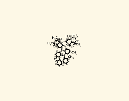 Cc1cc2c3c(c1)N(c1ccccc1C)c1c(ccc4oc5ccccc5c14)B3c1cc3c(cc1N2c1cc2c(cc1C)C(C)(C)CCC2(C)C)C(C)(C)CC3(C)C